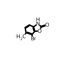 [CH2]c1ccc2[nH]c(=O)oc2c1Br